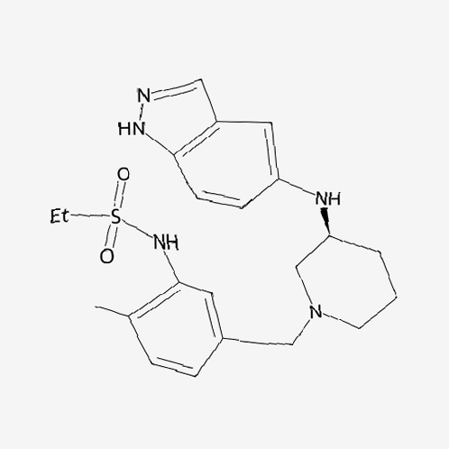 CCS(=O)(=O)Nc1cc(CN2CCC[C@H](Nc3ccc4[nH]ncc4c3)C2)ccc1C